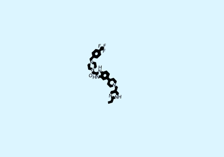 CCC1=NC=C(CN2CCC(c3ccc4c(c3)NC(C(=O)N3CCN(Cc5ccc(C(F)(F)F)cc5)CC3)N4)CC2)CN1